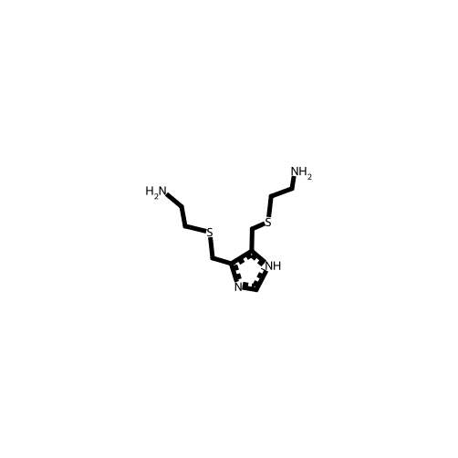 NCCSCc1nc[nH]c1CSCCN